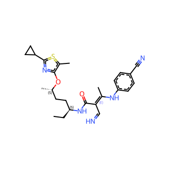 CC[C@@H](CC[C@H](C)Oc1nc(C2CC2)sc1C)NC(=O)/C(C=N)=C(\C)Nc1ccc(C#N)cc1